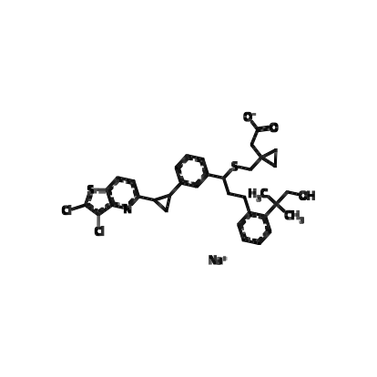 CC(C)(CO)c1ccccc1CCC(SCC1(CC(=O)[O-])CC1)c1cccc(C2CC2c2ccc3sc(Cl)c(Cl)c3n2)c1.[Na+]